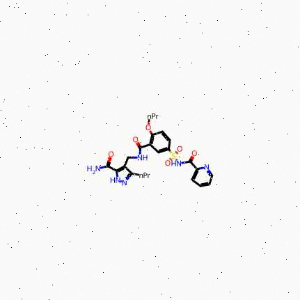 CCCOc1ccc(S(=O)(=O)NC(=O)c2ccccn2)cc1C(=O)NCc1c(CCC)n[nH]c1C(N)=O